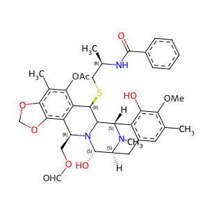 COc1c(C)cc2c(c1O)[C@H]1C3[C@H](SC[C@@H](C)NC(=O)c4ccccc4)c4c(OC(C)=O)c(C)c5c(c4[C@H](COC=O)N3[C@@H](O)[C@H](C2)N1C)OCO5